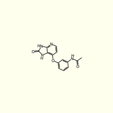 CC(=O)Nc1cccc(Oc2ccnc3[nH]c(=O)[nH]c23)c1